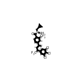 NN(CC1CC1)C(=O)c1ccc(C(F)=CC(c2cc(Cl)c(Cl)c(Cl)c2)C(F)(F)F)cc1C(F)(F)F